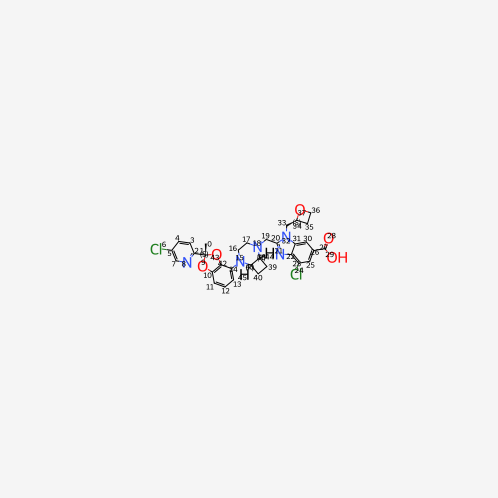 C[C@]1(c2ccc(Cl)cn2)Oc2cccc(N3CCN(Cc4nc5c(Cl)cc(C(=O)O)cc5n4C[C@@H]4CCO4)[C@@H]4CC[C@H]43)c2O1